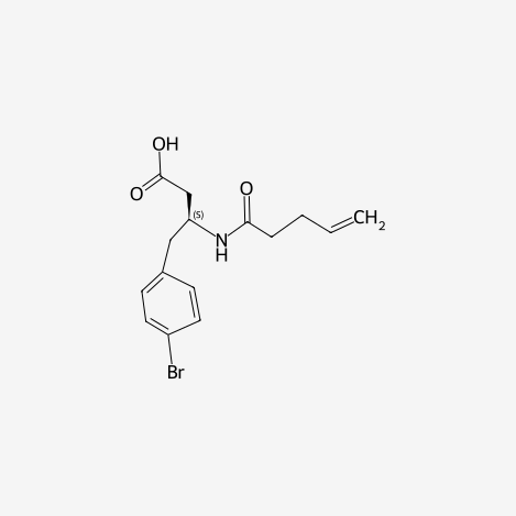 C=CCCC(=O)N[C@H](CC(=O)O)Cc1ccc(Br)cc1